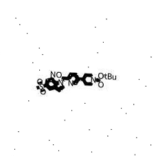 CC(C)(C)OC(=O)N1CCC(c2ccc(Cn3ccc4cc(S(C)(=O)=O)cc([N+](=O)[O-])c43)nc2)CC1